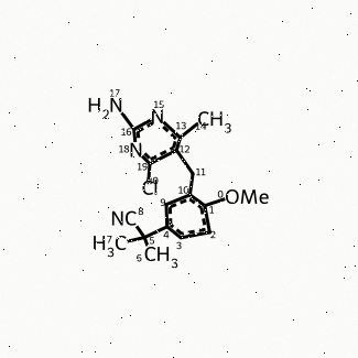 COc1ccc(C(C)(C)C#N)cc1Cc1c(C)nc(N)nc1Cl